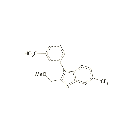 COCc1nc2cc(C(F)(F)F)ccc2n1-c1cccc(C(=O)O)c1